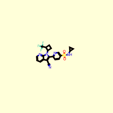 N#Cc1c(-c2ccc(S(=O)(=O)NC3CC3)cn2)n(C2CCC2C(F)(F)F)c2ncccc12